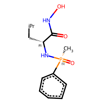 CC(C)C[C@@H](N[P@@](C)(=O)c1ccccc1)C(=O)NO